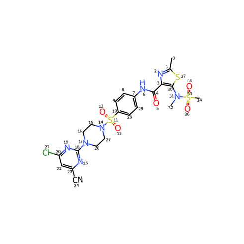 Cc1nc(C(=O)Nc2ccc(S(=O)(=O)N3CCN(c4nc(Cl)cc(C#N)n4)CC3)cc2)c(N(C)S(C)(=O)=O)s1